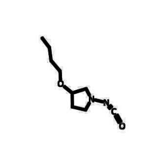 CCCCOC1CCN(N=C=O)C1